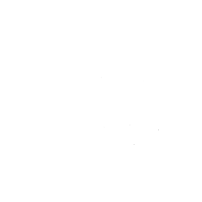 Cc1c(-c2[nH]c3ccc(Cl)nc3c2C(C)C)cn2ncnc2c1C